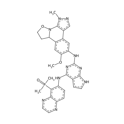 COc1cc2c(cc1Nc1nc(Nc3ccc4nccnc4c3P(C)(C)=O)c3cc[nH]c3n1)-c1cnn(C)c1N1OCCC21